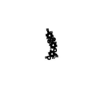 COc1ccc(Oc2ccc(S(=O)(=O)c3ccc(C)cc3)cc2)c(C)c1